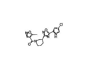 Cc1oncc1C(=O)N1CCC[C@H](c2noc(-c3cc(Cl)c[nH]3)n2)C1